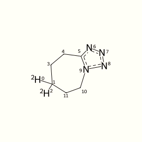 [2H]C1([2H])CCc2nnnn2CC1